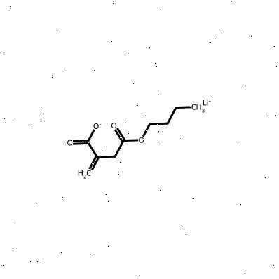 C=C(CC(=O)OCCCC)C(=O)[O-].[Li+]